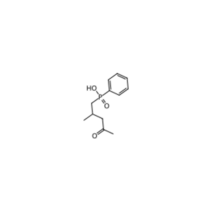 CC(=O)CC(C)CP(=O)(O)c1ccccc1